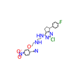 N#Cc1ccc([N+](=O)[O-])cc1OCCNCCNc1nc(Cl)nc2c1CCC2c1ccc(F)cc1